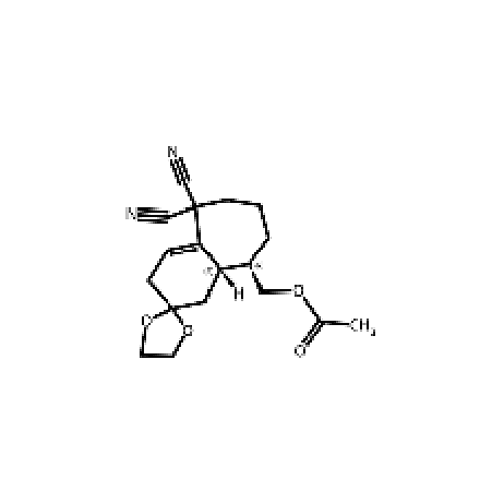 CC(=O)OC[C@@H]1CCCC(C#N)(C#N)C2=CCC3(C[C@H]21)OCCO3